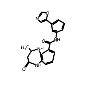 C[C@@H]1CC(=O)Nc2cccc(C(=O)Nc3cccc(-c4cnco4)c3)c2N1